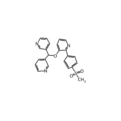 CS(=O)(=O)c1ccc(-c2ncccc2OC(c2cccnc2)c2cccnc2)cc1